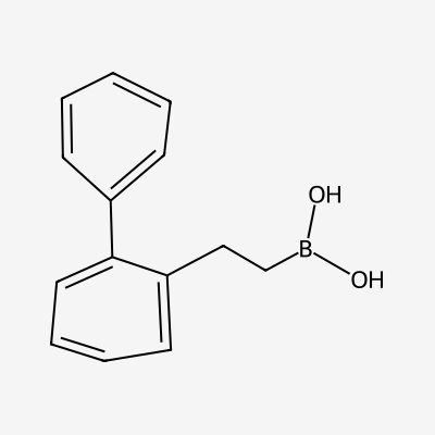 OB(O)CCc1ccccc1-c1ccccc1